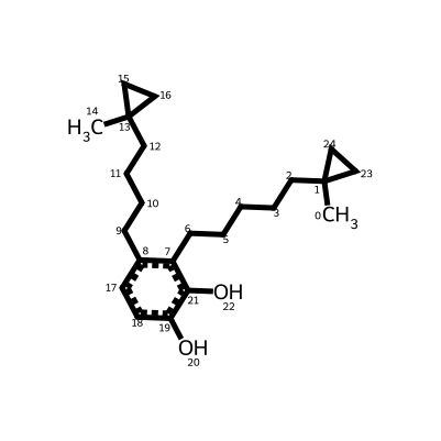 CC1(CCCCCc2c(CCCCC3(C)CC3)ccc(O)c2O)CC1